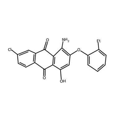 CCc1ccccc1Oc1cc(O)c2c(c1N)C(=O)c1cc(Cl)ccc1C2=O